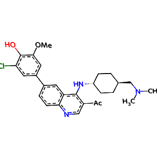 COc1cc(-c2ccc3ncc(C(C)=O)c(N[C@H]4CC[C@H](CN(C)C)CC4)c3c2)cc(Cl)c1O